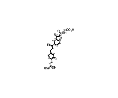 CCC(CCc1ccc(OCC(O)C(C)(C)C)c(C)c1)c1ccc2oc(C(=O)NCC(=O)O)c(C)c2c1